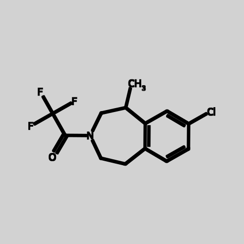 CC1CN(C(=O)C(F)(F)F)CCc2ccc(Cl)cc21